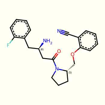 N#Cc1ccccc1OC[C@@H]1CCCN1C(=O)C[C@H](N)Cc1ccccc1F